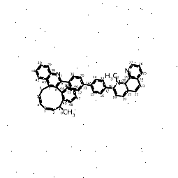 CC1/C=C\C=C/Cc2c(c(-c3ccc(-c4ccc(C5=CC=C6C=Cc7cccnc7C6N5C)cc4)cc3)nc3ccccc23)-c2ccccc21